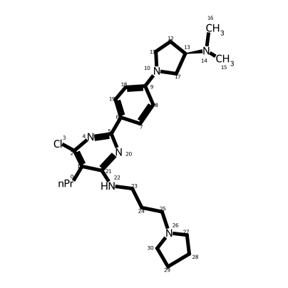 CCCc1c(Cl)nc(-c2ccc(N3CC[C@@H](N(C)C)C3)cc2)nc1NCCCN1CCCC1